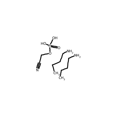 CCCCN.CCCCN.N#CCOP(=O)(O)O